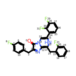 O=c1c(Cc2ccc(F)cc2)nc2c(Cc3ccccc3F)[nH]c(-c3cccc(F)c3F)cn1-2